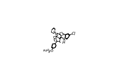 CCOC(C)Oc1ccc(C(=O)C(C)C2=C(Nc3ccc(Cl)cc3Cl)CCN(N3CCCCC3)C2=O)cc1